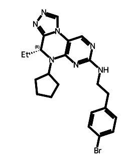 CC[C@@H]1c2nncn2-c2cnc(NCCc3ccc(Br)cc3)nc2N1C1CCCC1